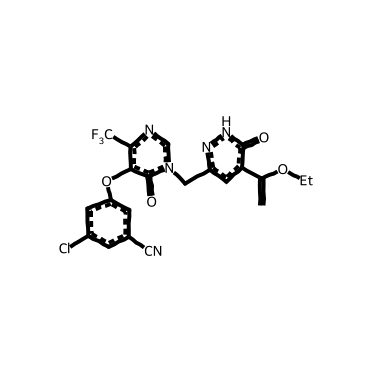 C=C(OCC)c1cc(Cn2cnc(C(F)(F)F)c(Oc3cc(Cl)cc(C#N)c3)c2=O)n[nH]c1=O